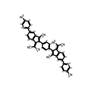 N#CC(C#N)=C1C(c2ccc(C3=C(C#N)c4cc(-c5ccc(C#N)cn5)ccc4C3=C(C#N)C#N)cc2)=C(C#N)c2cc(-c3ccc(C#N)cn3)ccc21